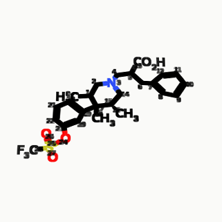 CC1CN(CC(Cc2ccccc2)C(=O)O)C[C@H](C)C1(C)c1cccc(OS(=O)(=O)C(F)(F)F)c1